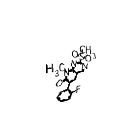 Cn1c(=O)c(-c2ccccc2F)cc2cnc(S(C)(=O)=O)nc21